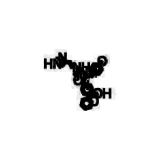 COc1ccc(C[C@@H](NC(=S)NCCc2c[nH]cn2)C(=O)N2CCC(C(=O)O)(C3CCCCC3)CC2)cc1